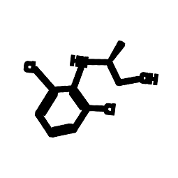 C[C@@H](CO)Nc1c(Cl)cccc1Cl